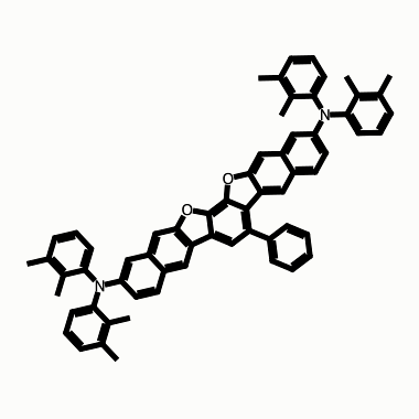 Cc1cccc(N(c2ccc3cc4c(cc3c2)oc2c4cc(-c3ccccc3)c3c4cc5ccc(N(c6cccc(C)c6C)c6cccc(C)c6C)cc5cc4oc23)c2cccc(C)c2C)c1C